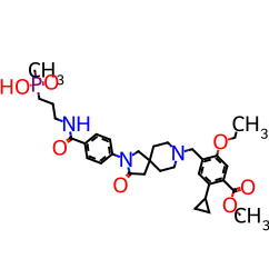 CCOc1cc(C(=O)OC)c(C2CC2)cc1CN1CCC2(CC1)CC(=O)N(c1ccc(C(=O)NCCCP(C)(=O)O)cc1)C2